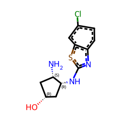 N[C@H]1C[C@@H](O)C[C@H]1Nc1nc2ccc(Cl)cc2s1